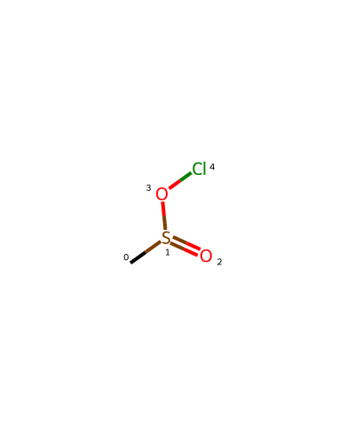 CS(=O)OCl